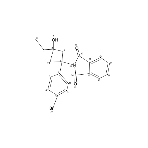 CCC1(O)CC(c2ccc(Br)cc2)(N2C(=O)c3ccccc3C2=O)C1